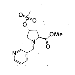 COC(=O)[C@@H]1C[C@@H](OS(C)(=O)=O)CN1Cc1cccnc1